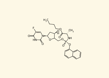 CCCCOC(=O)[C@H](C)NP(=O)(OCC1O[C@@H](n2cc(F)c(=O)[nH]c2=O)C[C@H]1O)Oc1cccc2ccccc12